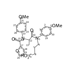 COc1ccc(N(CCCC(=O)O)C(=O)C(C)N(C(=O)c2ccco2)c2ccc(OC)cc2)cc1